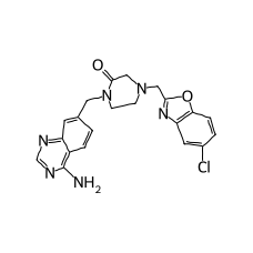 Nc1ncnc2cc(CN3CCN(Cc4nc5cc(Cl)ccc5o4)CC3=O)ccc12